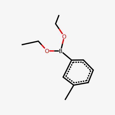 CCOB(OCC)c1cccc(C)c1